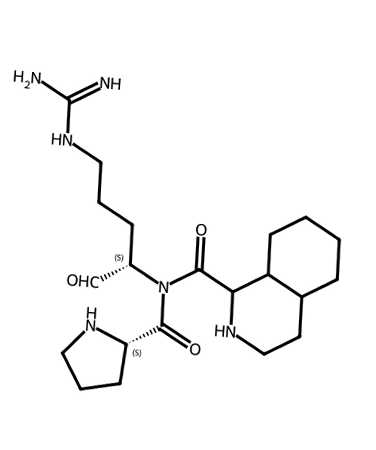 N=C(N)NCCC[C@@H](C=O)N(C(=O)C1NCCC2CCCCC21)C(=O)[C@@H]1CCCN1